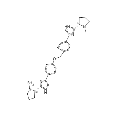 BN1CCC[C@H]1c1nc(-c2ccc(OCc3ccc(-c4c[nH]c([C@@H]5CCCN5C)n4)cc3)cc2)c[nH]1